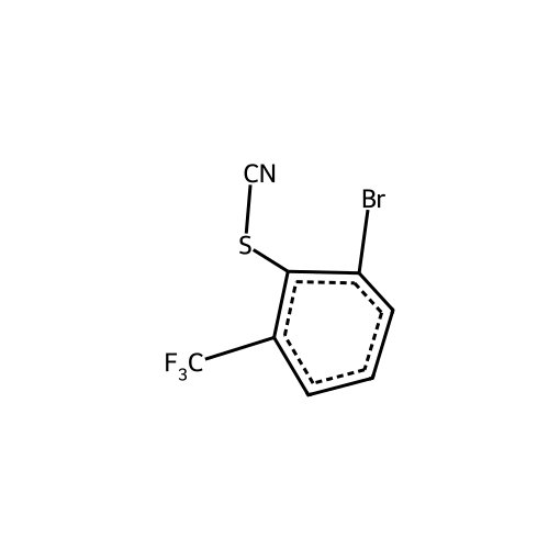 N#CSc1c(Br)cccc1C(F)(F)F